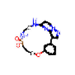 O=S1(=O)CCCOc2cccc(c2)-c2cnn3ccc(nc23)NCCN1